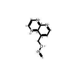 C=NOCc1ccnc2nccnc12